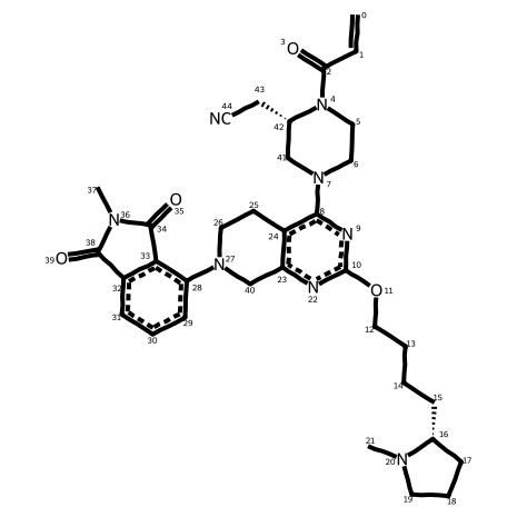 C=CC(=O)N1CCN(c2nc(OCCCC[C@@H]3CCCN3C)nc3c2CCN(c2cccc4c2C(=O)N(C)C4=O)C3)C[C@@H]1CC#N